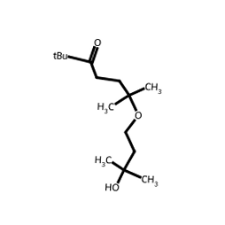 CC(C)(O)CCOC(C)(C)CCC(=O)C(C)(C)C